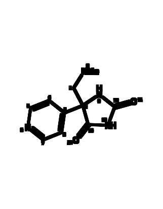 CNCC1(c2ccncc2)NC(=O)NC1=O